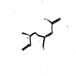 C=C[C@@H](C)C/C(F)=C\C(=C)F